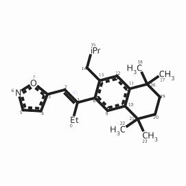 CC/C(=C\c1ccno1)c1cc2c(cc1CC(C)C)C(C)(C)CCC2(C)C